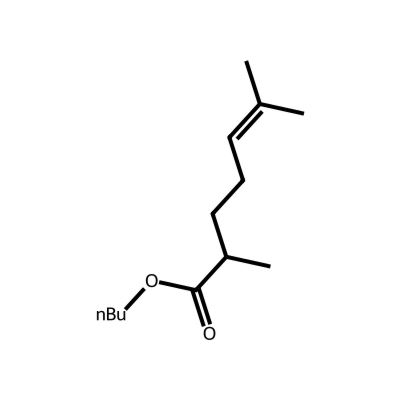 CCCCOC(=O)C(C)CCC=C(C)C